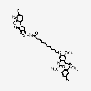 COc1cc2c(N[C@H](C)c3cccc(Br)c3)nc(C)nc2cc1OCCCCCCCCCC(=O)NCc1scc2c1CN(C1CCC(=O)NC1=O)C2=O